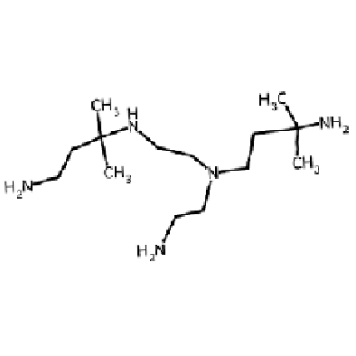 CC(C)(N)CCN(CCN)CCNC(C)(C)CCN